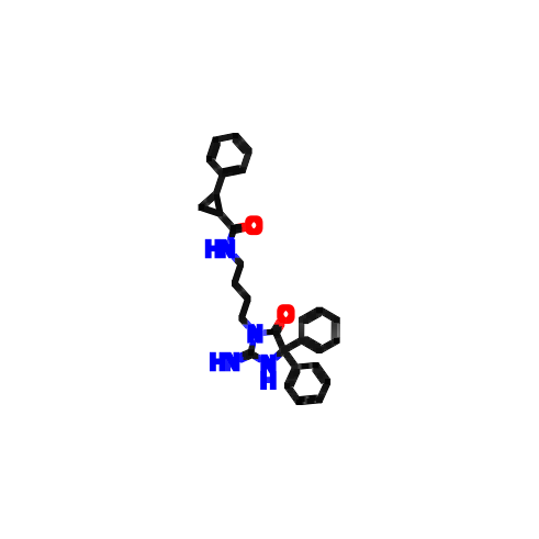 N=C1NC(c2ccccc2)(c2ccccc2)C(=O)N1CCCCNC(=O)C1CC1c1ccccc1